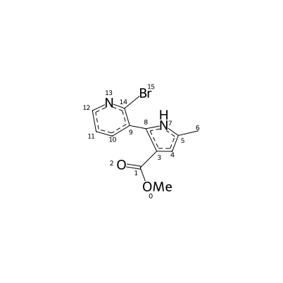 COC(=O)c1cc(C)[nH]c1-c1cccnc1Br